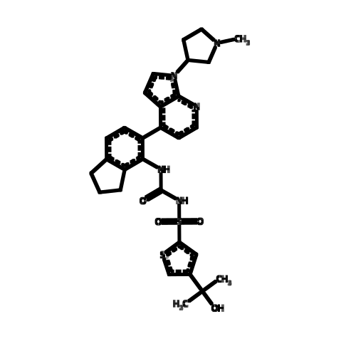 CN1CCC(n2ccc3c(-c4ccc5c(c4NC(=O)NS(=O)(=O)c4cc(C(C)(C)O)cs4)CCC5)ccnc32)C1